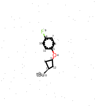 CC(C)(C)[C@H]1C[C@@H](Oc2ccc(F)cc2)C1